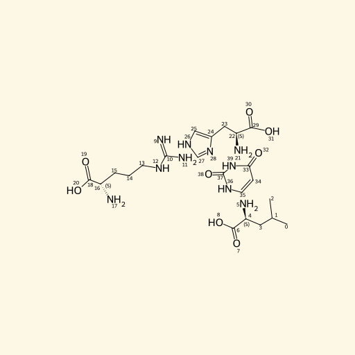 CC(C)C[C@H](N)C(=O)O.N=C(N)NCCC[C@H](N)C(=O)O.N[C@@H](Cc1c[nH]cn1)C(=O)O.O=c1cc[nH]c(=O)[nH]1